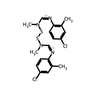 Cc1cc(Cl)ccc1/N=C\N(C)SSN(C)/C=N\c1ccc(Cl)cc1C